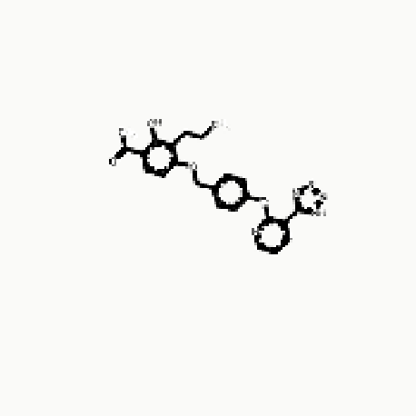 CCCc1c(OCc2ccc(Oc3ncccc3-c3nnn[nH]3)cc2)ccc(C(C)=O)c1O